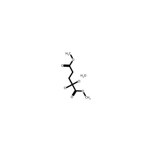 COC(=O)CCC(Cl)(Cl)C(=O)OC.O